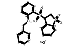 Cl.O=S1(=O)CC(S(=O)(=O)c2ccccc2OCc2cccnc2)c2ccccc21